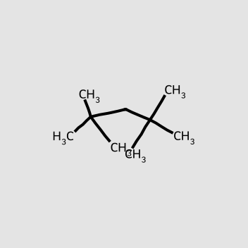 CC(C)(C)CC(C)(C)C